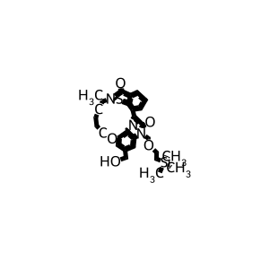 CC1CCCCOc2cc(CO)cc3c2nc(c(=O)n3COCC[Si](C)(C)C)-c2cccc3c(=O)n1sc23